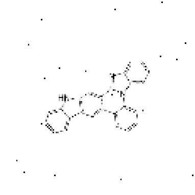 c1ccc2c(c1)nc1c3cc4[nH]c5ccccc5c4cc3c3ccccc3n21